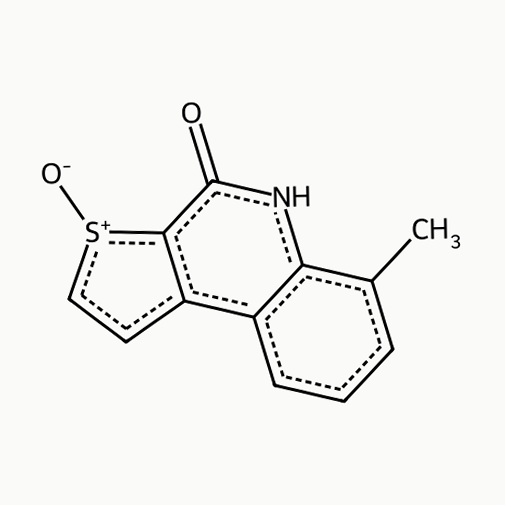 Cc1cccc2c1[nH]c(=O)c1c2cc[s+]1[O-]